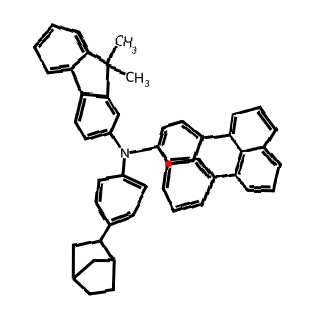 CC1(C)c2ccccc2-c2ccc(N(c3ccc(-c4cccc5cccc(-c6ccccc6)c45)cc3)c3ccc(C4CC5CCC4C5)cc3)cc21